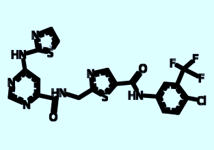 O=C(NCc1ncc(C(=O)Nc2ccc(Cl)c(C(F)(F)F)c2)s1)c1cc(Nc2nccs2)ncn1